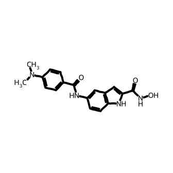 CN(C)c1ccc(C(=O)Nc2ccc3[nH]c(C(=O)NO)cc3c2)cc1